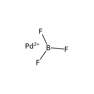 FB(F)F.[Pd+2]